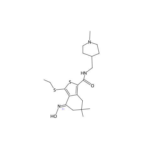 CCSc1sc(C(=O)NCC2CCN(C)CC2)c2c1/C(=N/O)CC(C)(C)C2